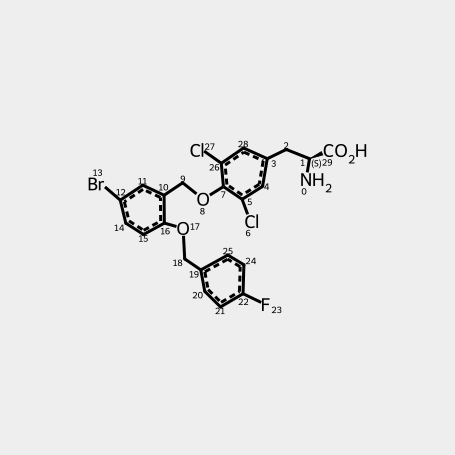 N[C@@H](Cc1cc(Cl)c(OCc2cc(Br)ccc2OCc2ccc(F)cc2)c(Cl)c1)C(=O)O